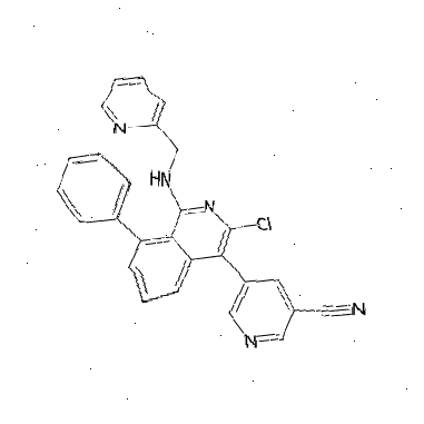 N#Cc1cncc(-c2c(Cl)nc(NCc3ccccn3)c3c(-c4ccccc4)cccc23)c1